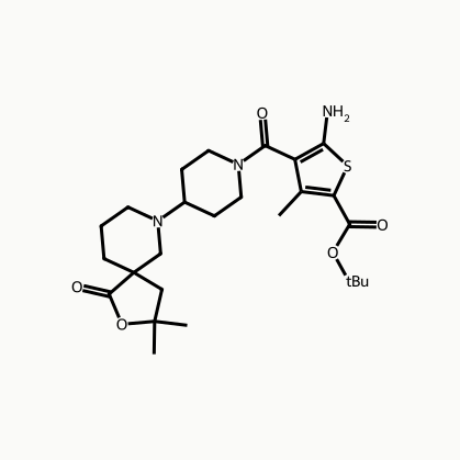 Cc1c(C(=O)OC(C)(C)C)sc(N)c1C(=O)N1CCC(N2CCCC3(C2)CC(C)(C)OC3=O)CC1